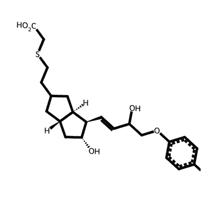 O=C(O)CSCCC1C[C@H]2C[C@@H](O)[C@H](C=CC(O)COc3ccc(F)cc3)[C@@H]2C1